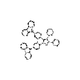 C1=CC2c3ccccc3N(c3ccc4c(c3)c3cc(-n5c6ccccc6c6ccccc65)ccc3c3c(C5=CCCC=C5)c(-c5ccccc5)oc43)C2C=C1